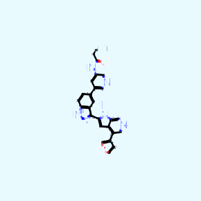 CC(C)CC(=O)Nc1cncc(-c2ccc3[nH]nc(-c4cc5c(-c6ccoc6)cncc5[nH]4)c3c2)c1